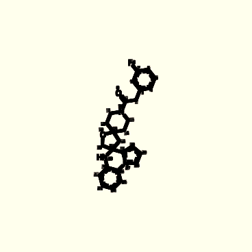 O=C(Cc1cccc(F)c1)N1CCC2(CC1)CC1(CO2)Nc2ccccc2-n2cccc21